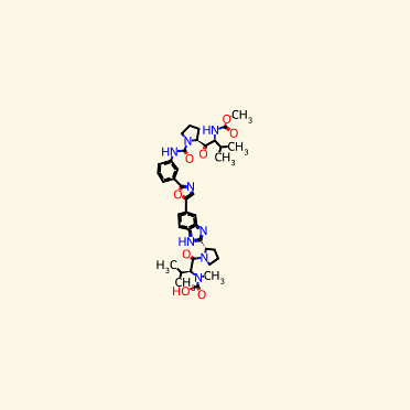 COC(=O)N[C@H](C(=O)[C@@H]1CCCN1C(=O)Nc1cccc(-c2ncc(-c3ccc4[nH]c([C@@H]5CCCN5C(=O)[C@H](C(C)C)N(C)C(=O)O)nc4c3)o2)c1)C(C)C